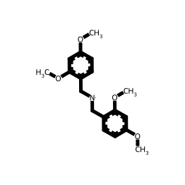 COc1ccc(C[N]Cc2ccc(OC)cc2OC)c(OC)c1